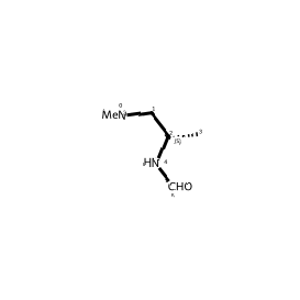 CNC[C@H](C)NC=O